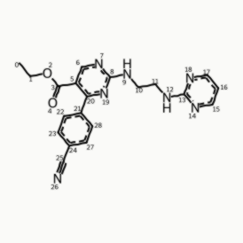 CCOC(=O)c1cnc(NCCNc2ncccn2)nc1-c1ccc(C#N)cc1